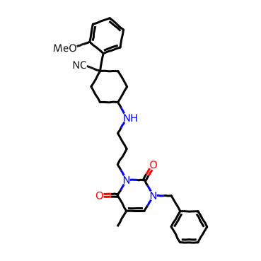 COc1ccccc1C1(C#N)CCC(NCCCn2c(=O)c(C)cn(Cc3ccccc3)c2=O)CC1